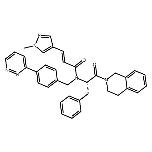 Cn1cc(/C=C/C(=O)N(Cc2ccc(-c3cccnn3)cc2)[C@@H](Cc2ccccc2)C(=O)N2CCc3ccccc3C2)cn1